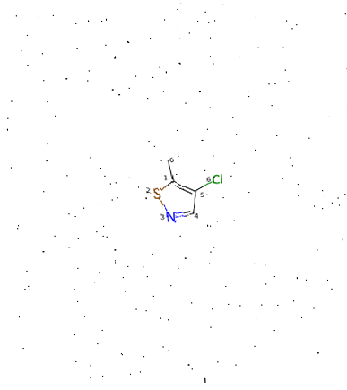 Cc1sncc1Cl